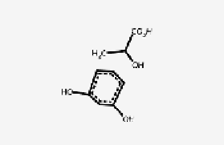 CC(O)C(=O)O.Oc1cccc(O)c1